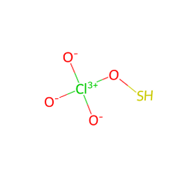 [O-][Cl+3]([O-])([O-])OS